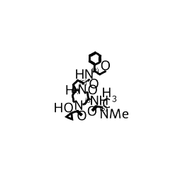 CN[C@@H](C)C(=O)N[C@H]1CN(C(=O)C2(O)CC2)CC[C@H]2CC[C@@H](C(=O)N[C@@H]3CCOc4ccccc43)N2C1=O